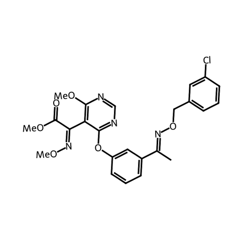 CON=C(C(=O)OC)c1c(OC)ncnc1Oc1cccc(C(C)=NOCc2cccc(Cl)c2)c1